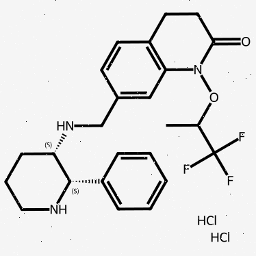 CC(ON1C(=O)CCc2ccc(CN[C@H]3CCCN[C@H]3c3ccccc3)cc21)C(F)(F)F.Cl.Cl